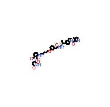 Cc1ccncc1C(=O)N1CCc2cc(-c3nc(NC(=O)Cc4cccc(OCCCCCNc5cccc6c5C(=O)N(C5CCC(=O)NC5=O)C6=O)c4)sc3C)ccc21